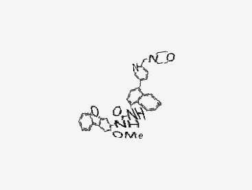 COc1cc2c(cc1NC(=O)Nc1ccc(-c3ccc(CN4CCOCC4)nc3)c3ccccc13)oc1ccccc12